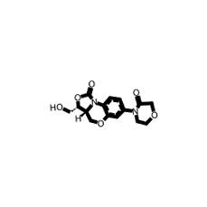 O=C1COCCN1c1ccc2c(c1)OC[C@@H]1[C@H](CO)OC(=O)N21